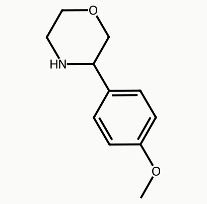 COc1ccc(C2COCCN2)cc1